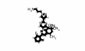 C[C@@H]1CC(C)(C)[C@@](C)(c2ccnc(-c3cnn(CCCN)c3)n2)c2nnc(-c3c(F)cccc3F)cc21